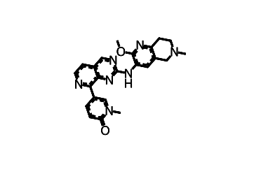 COc1nc2c(cc1Nc1ncc3ccnc(-c4ccc(=O)n(C)c4)c3n1)CN(C)CC2